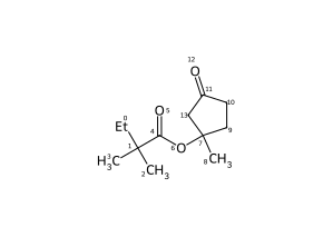 CCC(C)(C)C(=O)OC1(C)CCC(=O)C1